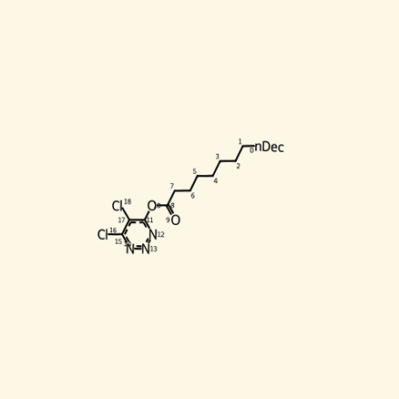 CCCCCCCCCCCCCCCCCC(=O)Oc1nnnc(Cl)c1Cl